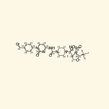 CC(C)(C)[C@H]1OC[C@@](C)(C(=O)N2CCN(C(=O)Nc3ccn(-c4ccc(C=O)cc4)c(=O)n3)CC2)N1C(=O)O